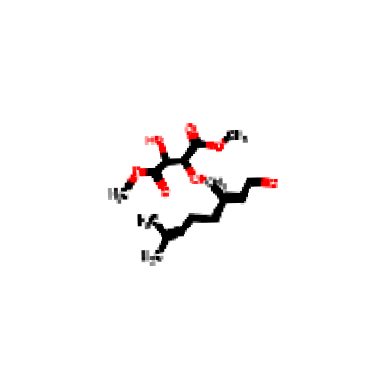 CC(C)=CCC/C(C)=C/C=O.COC(=O)C(O)C(O)C(=O)OC